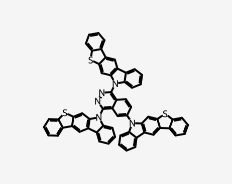 c1ccc2c(c1)sc1cc3c(cc12)c1ccccc1n3-c1ccc2c(-n3c4ccccc4c4cc5c(cc43)sc3ccccc35)nnc(-n3c4ccccc4c4cc5c(cc43)sc3ccccc35)c2c1